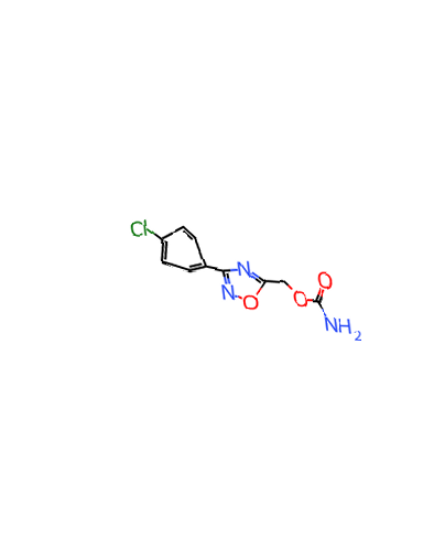 NC(=O)OCc1nc(-c2ccc(Cl)cc2)no1